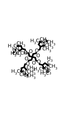 CON1C(C)(C)CC(COC(=O)CC(CC(=O)OCC2CC(C)(C)N(OC)C2(C)C)(CC(=O)OCC2CC(C)(C)N(OC)C2(C)C)CC(=O)OCC2CC(C)(C)N(OC)C2(C)C)C1(C)C